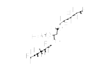 O=C(CC(SOOO)C(=O)OCC(F)(F)C(F)(F)C(F)(F)C(F)(F)C(F)(F)C(F)F)OCC(F)(F)C(F)(F)C(F)(F)C(F)(F)C(F)(F)C(F)(F)F